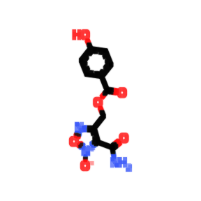 NC(=O)c1c(COC(=O)c2ccc(O)cc2)no[n+]1[O-]